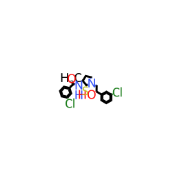 CC1(NC(=O)c2cccc(Cl)c2)CCN(CC(O)c2cccc(Cl)c2)C1=S